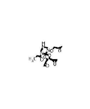 CCC(=O)N1CNCN(OCC2CO2)C1(OCC1CO1)OCC1CO1